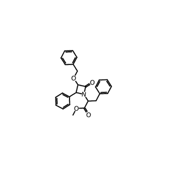 COC(=O)C(Cc1ccccc1)N1C(=O)C(OCc2ccccc2)C1c1ccccc1